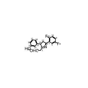 O=CCN1N=C(c2cc(F)ccc2F)CC1c1cccc(O)c1